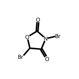 O=C1OC(Br)C(=O)N1Br